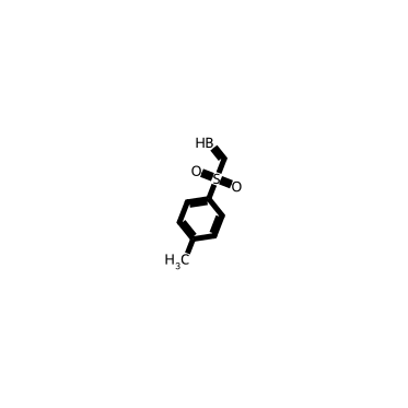 B=CS(=O)(=O)c1ccc(C)cc1